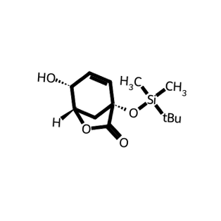 CC(C)(C)[Si](C)(C)O[C@@]12C=C[C@@H](O)[C@H](C1)OC2=O